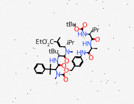 CCOC(=O)/C(C)=C/[C@H](C(C)C)N(C)C(=O)[C@@H](NC(=O)[C@@H](N(C)C(=O)OCc1ccc(NC(=O)[C@H](C)NC(=O)[C@@H](NC(=O)OC(C)(C)C)C(C)C)cc1)C(C)(C)c1ccccc1)C(C)(C)C